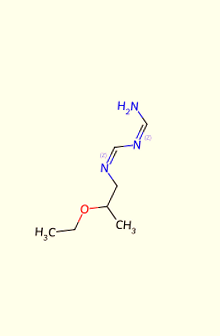 CCOC(C)C/N=C\N=C/N